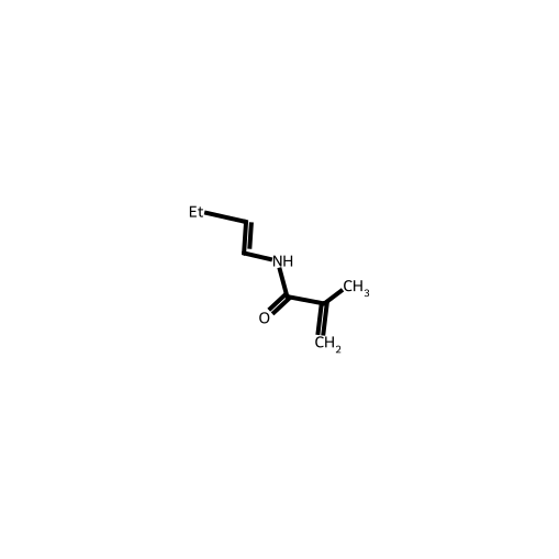 C=C(C)C(=O)NC=CCC